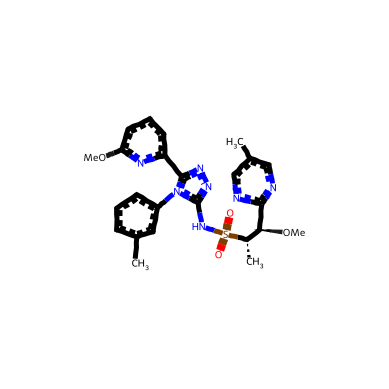 COc1cccc(-c2nnc(NS(=O)(=O)[C@@H](C)[C@H](OC)c3ncc(C)cn3)n2-c2cccc(C)c2)n1